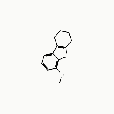 COc1cccc2c3c([nH]c12)CCCC3